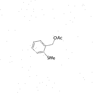 CSc1ccccc1COC(C)=O